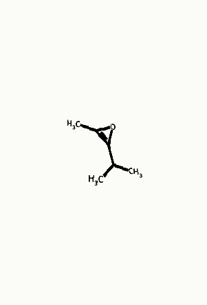 CC1=C(C(C)C)O1